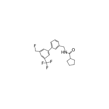 O=C(NCc1cccc(-c2cc(CF)cc(C(F)(F)F)c2)c1)C1CCCC1